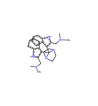 CCCCN(C)Cc1[nH]c2ccccc2c1C1(c2c(CN(C)CCCC)[nH]c3ccccc23)N2CCN1CC2